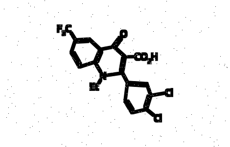 CCn1c(-c2ccc(Cl)c(Cl)c2)c(C(=O)O)c(=O)c2cc(C(F)(F)F)ccc21